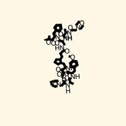 COc1ccc(CC(NC(=O)C(C)NC(=O)CN2CC3CC(C2)O3)C(=O)NC(CC2CCCC2CCC(=O)NCC(NC(=O)C(C)NC(=O)CN2CCOCC2)C(=O)NC(Cc2ccccc2)C(=O)C2(C)CO2)C(=O)C2(C)CO2)cc1